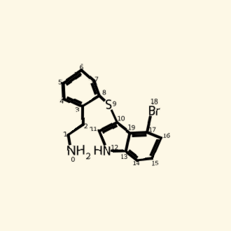 NCCc1ccccc1Sc1c[nH]c2cccc(Br)c12